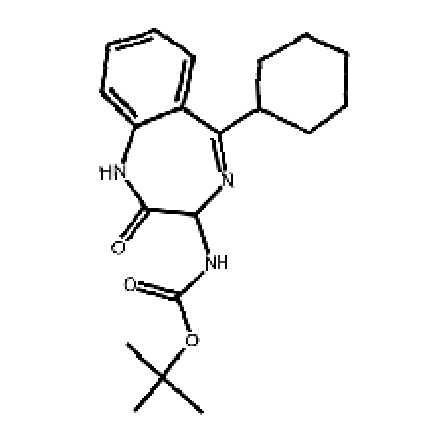 CC(C)(C)OC(=O)NC1N=C(C2CCCCC2)c2ccccc2NC1=O